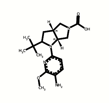 COc1nc(N2C(C(C)(C)C)C[C@@H]3CN(C(=O)O)C[C@@H]32)ccc1N